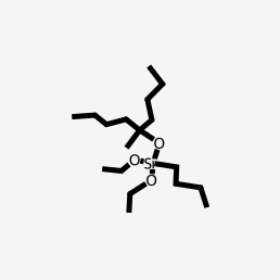 CCCCC(C)(CCCC)O[Si](CCCC)(OCC)OCC